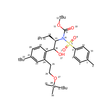 Cc1ccc(S(=O)(=O)N(C(=O)OC(C)(C)C)[C@H](CC(C)C)C(O)c2ccc(C(C)(C)C)cc2CCO[Si](C)(C)C(C)(C)C)cc1